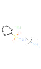 CC(C)(N)CNS(=O)(=O)c1ccccc1.Cl